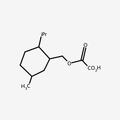 CC1CCC(C(C)C)C(COC(=O)C(=O)O)C1